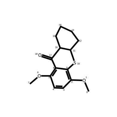 COc1ccc(OC)c2c1SC1CCCCC1C2=O